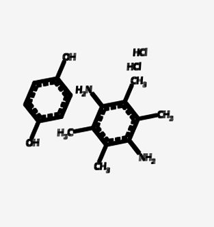 Cc1c(C)c(N)c(C)c(C)c1N.Cl.Cl.Oc1ccc(O)cc1